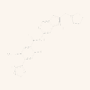 COc1cc(C(=O)Nc2cc3[nH]c(CN4CCC[C@@H]4C)cc3cn2)c(F)cc1-c1ccn[nH]1